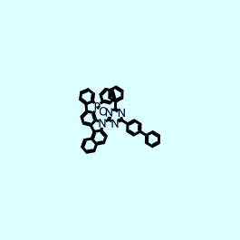 O=P1(c2ccccc2)c2ccccc2-c2ccc3c4c5ccccc5ccc4n(-c4nc(-c5ccccc5)nc(-c5ccc(-c6ccccc6)cc5)n4)c3c21